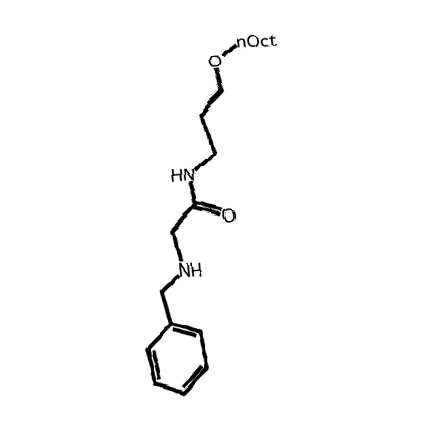 CCCCCCCCOCCCNC(=O)CNCc1ccccc1